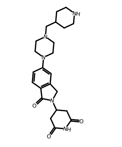 O=C1CC(N2Cc3cc(N4CCN(CC5CCNCC5)CC4)ccc3C2=O)CC(=O)N1